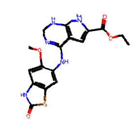 CCOC(=O)c1cc2c([nH]1)NCN=C2Nc1cc2sc(=O)[nH]c2cc1OC